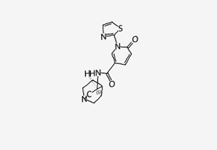 O=C(N[C@@H]1CN2CCC1CC2)c1ccc(=O)n(-c2nccs2)c1